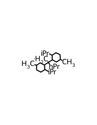 [CH2]C(CCC)(C1CC(C)CCC1C(C)C)C1CC(C)CCC1C(C)C